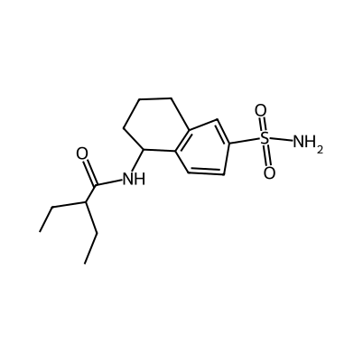 CCC(CC)C(=O)NC1CCCc2cc(S(N)(=O)=O)ccc21